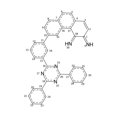 N=C1C=Cc2ccc3ccc(-c4cccc(-c5nc(-c6ccccc6)nc(-c6ccccc6)n5)c4)cc3c2C1=N